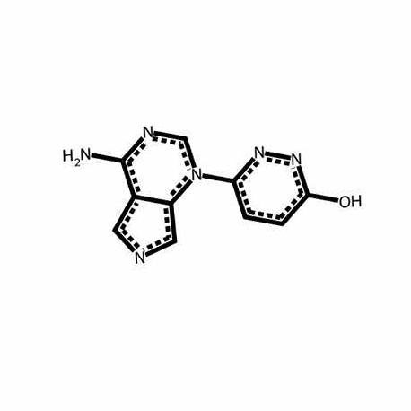 Nc1ncn(-c2ccc(O)nn2)c2cncc1-2